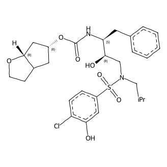 CC(C)CN(C[C@@H](O)[C@H](Cc1ccccc1)NC(=O)O[C@@H]1CC2CCO[C@@H]2C1)S(=O)(=O)c1ccc(Cl)c(O)c1